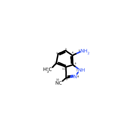 Cc1ccc(N)c2[nH]nc(C#N)c12